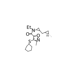 CCN(C(=O)c1onc(C)c1SC1CCCCC1)C1CC1CC1C[C@@H]1C